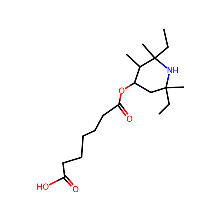 CCC1(C)CC(OC(=O)CCCCCC(=O)O)C(C)C(C)(CC)N1